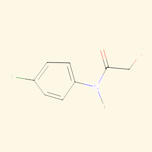 CC(C)N(C(=O)CO)c1ccc(F)cc1